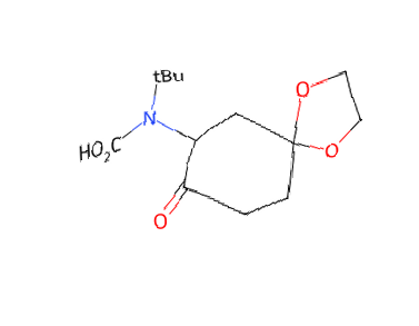 CC(C)(C)N(C(=O)O)C1CC2(CCC1=O)OCCO2